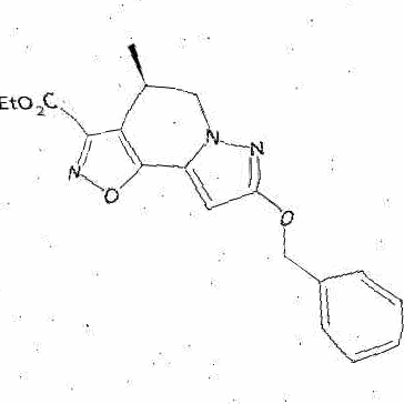 CCOC(=O)c1noc2c1[C@@H](C)Cn1nc(OCc3ccccc3)cc1-2